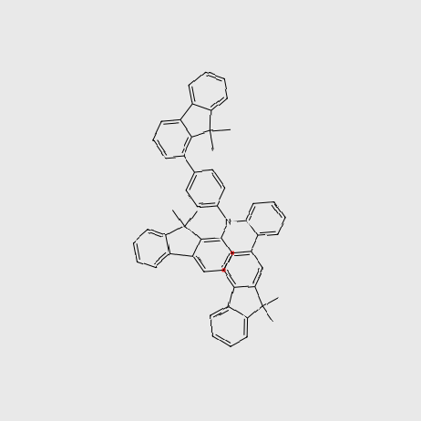 CC1(C)c2ccccc2-c2ccc(-c3ccccc3N(c3ccc(-c4cccc5c4C(C)(C)c4ccccc4-5)cc3)c3cccc4c3C(C)(C)c3ccccc3-4)cc21